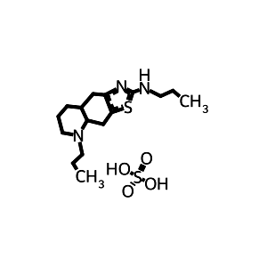 CCCNc1nc2c(s1)CC1C(CCCN1CCC)C2.O=S(=O)(O)O